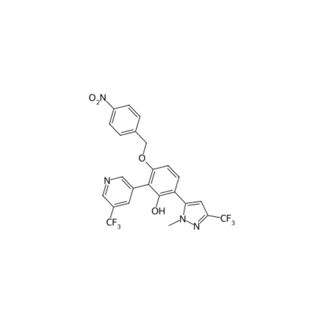 Cn1nc(C(F)(F)F)cc1-c1ccc(OCc2ccc([N+](=O)[O-])cc2)c(-c2cncc(C(F)(F)F)c2)c1O